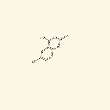 O=c1cc(O)c2cc(Cl)ccc2o1